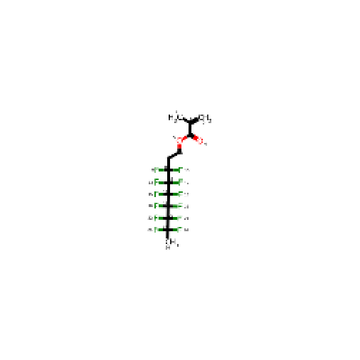 C=C(C)C(=O)OCCC(F)(F)C(F)(F)C(F)(F)C(F)(F)C(F)(F)C(C)(F)F